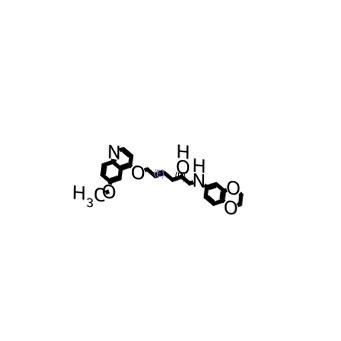 COc1ccc2nccc(OC/C=C/C[C@@H](O)CNc3ccc4c(c3)OCCO4)c2c1